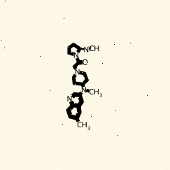 C#[N+][C@@H]1CCCN1C(=O)CN1CCC(N(C)c2cnc3ccc(C)cc3c2)CC1